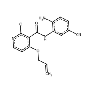 C=CCOc1ccnc(Cl)c1C(=O)Nc1cc(C#N)ccc1N